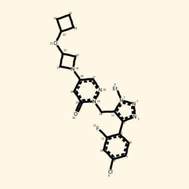 CCn1nnc(-c2ccc(Cl)cc2F)c1Cn1ncc(N2CC(OC3CCC3)C2)cc1=O